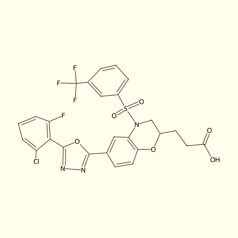 O=C(O)CCC1CN(S(=O)(=O)c2cccc(C(F)(F)F)c2)c2cc(-c3nnc(-c4c(F)cccc4Cl)o3)ccc2O1